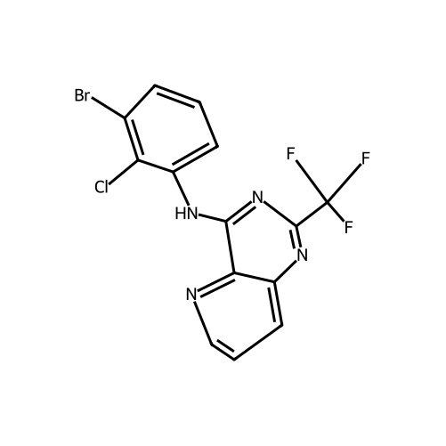 FC(F)(F)c1nc(Nc2cccc(Br)c2Cl)c2ncccc2n1